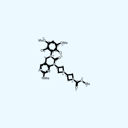 CNc1ncc2c(n1)N(C1CN(C3CN(C(=O)OC(C)(C)C)C3)C1)C(=O)N(c1c(Cl)c(OC)cc(OC)c1Cl)C2